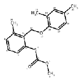 COC(=O)Sc1cccc(C)c1COc1ccc(C)cc1C